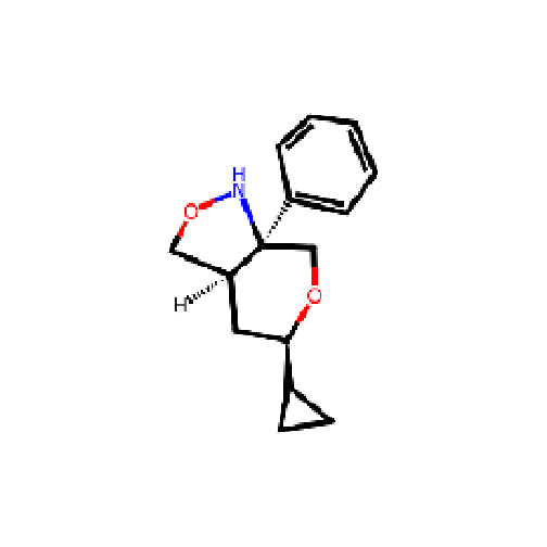 c1ccc([C@]23CO[C@@H](C4CC4)C[C@H]2CON3)cc1